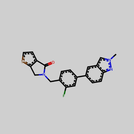 Cn1cc2cc(-c3ccc(CN4Cc5sccc5C4=O)c(F)c3)ccc2n1